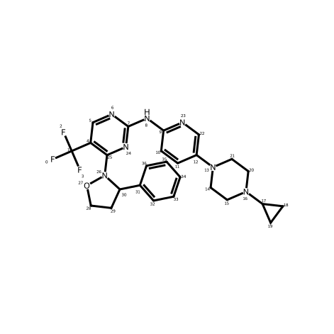 FC(F)(F)c1cnc(Nc2ccc(N3CCN(C4CC4)CC3)cn2)nc1N1OCCC1c1ccccc1